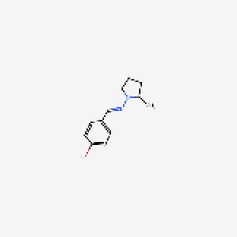 CC1CCCN1/N=C/c1ccc(Br)cc1